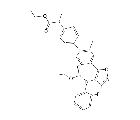 CCOC(=O)C(C)c1ccc(-c2ccc(-c3onc(C)c3N(C(=O)OCC)c3ccccc3F)cc2C)cc1